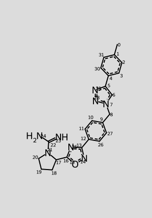 Cc1ccc(-c2cn(Cc3ccc(-c4noc(C5CCCN5C(=N)N)n4)cc3)nn2)cc1